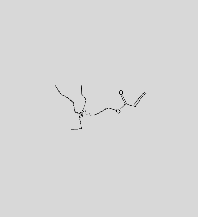 C=CC(=O)OCC[N@@+](CC)(CCC)CCCC